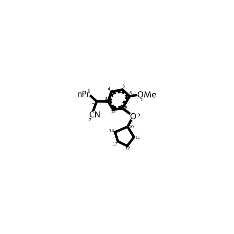 CCCC(C#N)c1ccc(OC)c(OC2CCCC2)c1